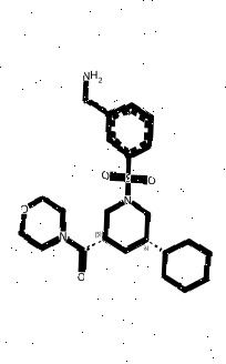 NCc1cccc(S(=O)(=O)N2C[C@@H](C(=O)N3CCOCC3)C[C@@H](C3CCCCC3)C2)c1